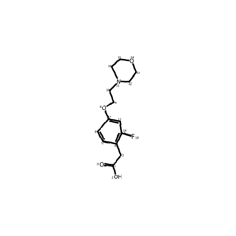 O=C(O)Cc1ccc(OCCN2CCOCC2)cc1F